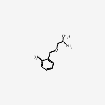 NC(COCc1ccccc1[N+](=O)[O-])C(=O)O